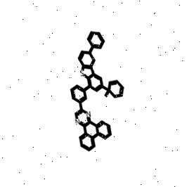 CC1(c2cc(-c3cccc(-c4cnc5c6ccccc6c6ccccc6c5n4)c3)c3sc4c(c3c2)CC(c2ccccc2)C=C4)C=CC=CC1